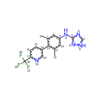 Cc1cc(Nc2nc[nH]n2)cc(C)c1-c1ccc(C(F)(F)F)nc1